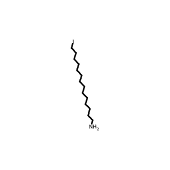 NCCCCCCCCCCCCCCI